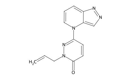 C=CCn1nc(-n2cccc3nncc2-3)ccc1=O